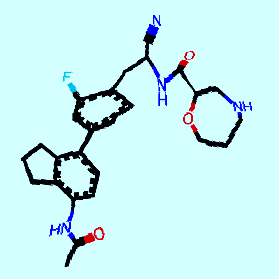 CC(=O)Nc1ccc(-c2ccc(CC(C#N)NC(=O)[C@H]3CNCCCO3)c(F)c2)c2c1CCC2